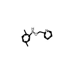 Cc1ccc(C)c(BOCc2ccccn2)c1